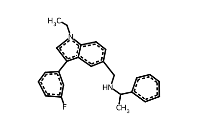 CCn1cc(-c2cccc(F)c2)c2cc(CNC(C)c3ccccc3)ccc21